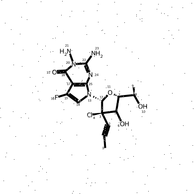 CC#C[C@@]1(Cl)C(O)[C@@H]([C@@H](C)O)O[C@H]1n1cc(F)c2c(=O)n(N)c(N)nc21